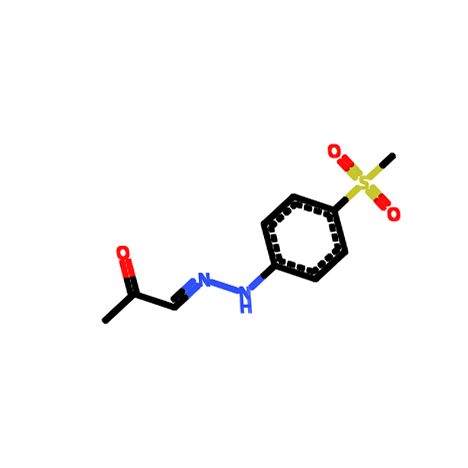 CC(=O)C=NNc1ccc(S(C)(=O)=O)cc1